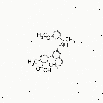 COc1cccc(C(C)NCc2cc(-c3ccc(C)c(C(=O)O)c3C)c3ccccc3c2)c1